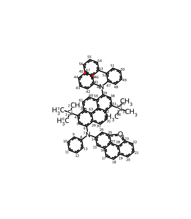 C[Si](C)(C)c1cc(N(c2ccccc2)c2cc3ccc4cccc5oc(c2)c3c45)c2ccc3c([Si](C)(C)C)cc(N(c4ccccc4)c4ccccc4-c4ccccc4)c4ccc1c2c43